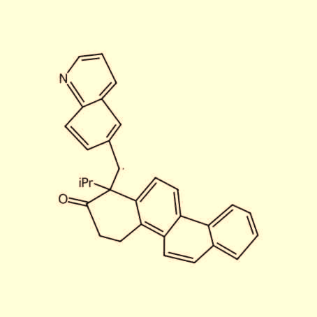 CC(C)C1([CH]c2ccc3ncccc3c2)C(=O)CCc2c1ccc1c2ccc2ccccc21